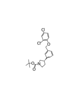 CC(C)(C)OC(=O)N1CC[C@H](c2cccc(COc3ccc(Cl)cc3Cl)c2)C1